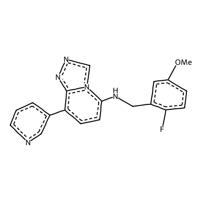 COc1ccc(F)c(CNc2ccc(-c3cccnc3)c3nncn23)c1